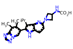 Cc1c(-c2[nH]c3ccc(N4CC(NC(=O)O)C4)nc3c2C(C)C)cn2ncnc2c1C